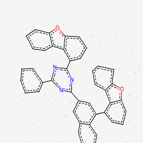 c1ccc(-c2nc(-c3cc(-c4cccc5oc6ccccc6c45)c4ccccc4c3)nc(-c3cccc4oc5ccccc5c34)n2)cc1